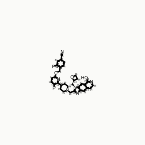 N#Cc1ccc(COc2ccc(F)c(C3CCN(Cc4nc5cc6ccnc(O)c6cc5n4C[C@@H]4CCO4)CC3)n2)c(F)c1